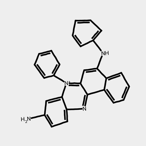 Nc1ccc2nc3c4ccccc4c(Nc4ccccc4)cc3[n+](-c3ccccc3)c2c1